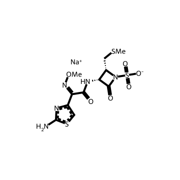 CON=C(C(=O)N[C@H]1C(=O)N(S(=O)(=O)[O-])[C@H]1CSC)c1csc(N)n1.[Na+]